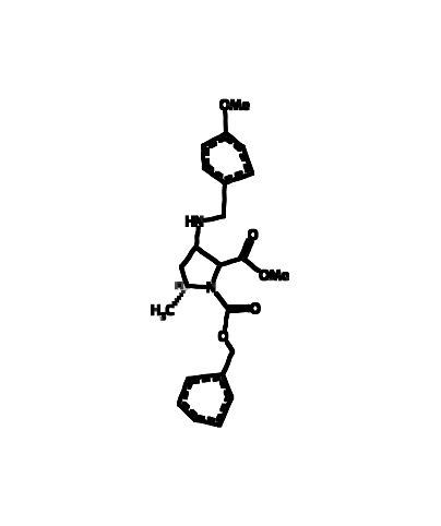 COC(=O)C1C(NCc2ccc(OC)cc2)C[C@@H](C)N1C(=O)OCc1ccccc1